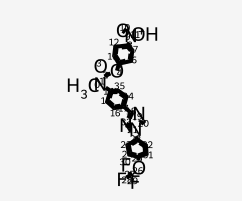 CN(C(=O)Oc1ccc([N+](=O)O)cc1)c1ccc(-c2ncn(-c3ccc(OC(F)(F)F)cc3)n2)cc1